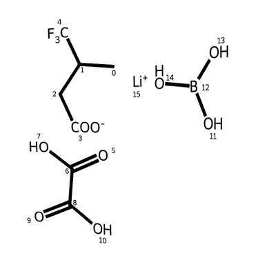 CC(CC(=O)[O-])C(F)(F)F.O=C(O)C(=O)O.OB(O)O.[Li+]